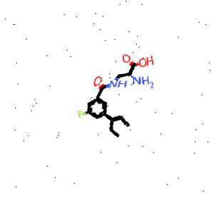 CCC(CC)c1cc(F)cc(C(=O)NC[C@@H](N)C(=O)O)c1